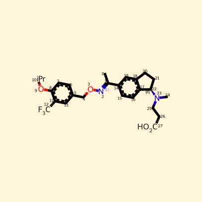 C/C(=N\OCc1ccc(OC(C)C)c(C(F)(F)F)c1)c1ccc2c(c1)CC[C@H]2N(C)CCC(=O)O